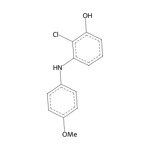 COc1ccc(Nc2cccc(O)c2Cl)cc1